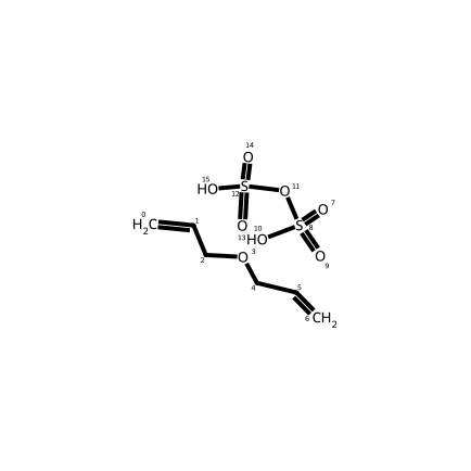 C=CCOCC=C.O=S(=O)(O)OS(=O)(=O)O